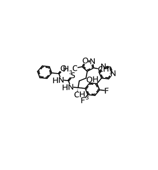 Cc1noc(C)c1[C@H](O)C[C@](C)(NC(=S)NC(=O)c1ccccc1)c1cc(-c2cncnc2)c(F)cc1F